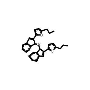 CCCc1ccc(C2=Cc3ccccc3[CH]2[Zr][CH]2C(c3ccc(CCC)o3)=Cc3ccccc32)o1